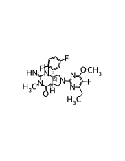 CCc1nc(N2C[C@H]3C(=O)N(C)C(=N)N[C@@]3(c3cc(F)ccc3F)C2)nc(OC)c1F